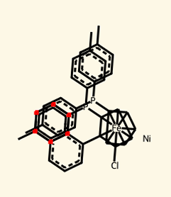 Cc1ccc(P(c2ccc(C)cc2)[C]23[CH]4[CH]5[CH]6[CH]2[Fe]56432789[CH]3[CH]2[C]7(P(c2ccc(C)cc2)c2ccc(C)cc2)[C]8(c2cccc4ccccc24)[C]39Cl)cc1.[Ni]